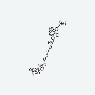 CCNC(=O)C#Cc1ccc2c(c1)NC(=O)/C2=C(\Nc1ccc(CNCCOCCOCCOCCOCCC(=O)Nc2cccc3c2CN(C2CCC(=O)NC2=O)C3=O)cc1)c1ccccc1